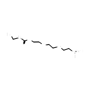 CCCNCCOCCOCCOC(=O)NCC(C)C